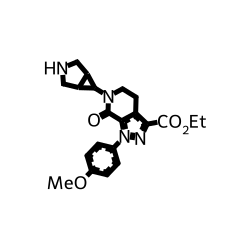 CCOC(=O)c1nn(-c2ccc(OC)cc2)c2c1CCN(C1C3CNCC31)C2=O